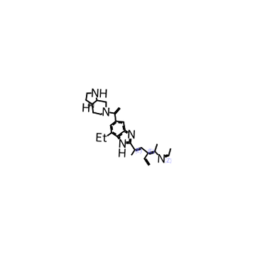 C=CC(/C=C(\C)c1nc2cc(C(=C)N3CC[C@H]4CCNC4C3)cc(CC)c2[nH]1)=C(C)\N=C/C